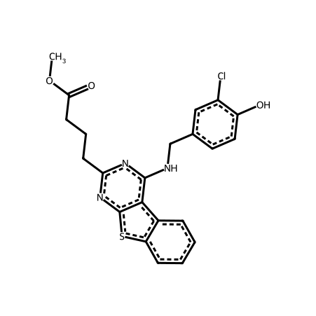 COC(=O)CCCc1nc(NCc2ccc(O)c(Cl)c2)c2c(n1)sc1ccccc12